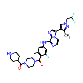 Cc1cc(Nc2nccn3c(-c4cn(CC(F)F)nc4C(F)(F)F)cnc23)cc(F)c1C(=O)N1CCN(C(=O)C2CCNCC2)CC1